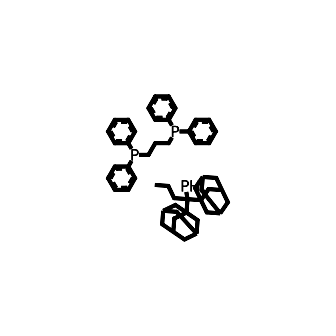 CCCC(P)(C12CC3CC(CC(C3)C1)C2)C12CC3CC(CC(C3)C1)C2.c1ccc(P(CCCP(c2ccccc2)c2ccccc2)c2ccccc2)cc1